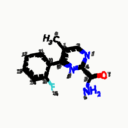 Cc1cnc(C(N)=O)nc1-c1ccccc1F